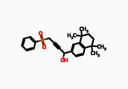 CC1(C)CCC(C)(C)c2cc(C(O)C#CCS(=O)(=O)c3ccccc3)ccc21